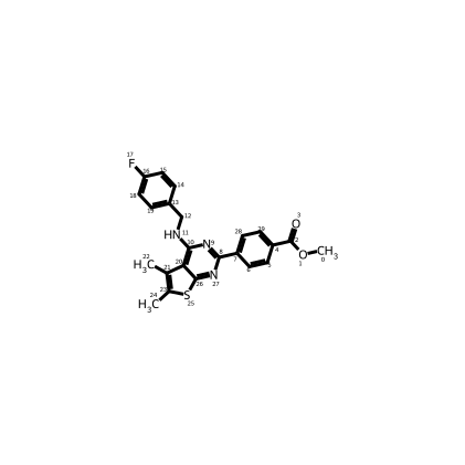 COC(=O)c1ccc(-c2nc(NCc3ccc(F)cc3)c3c(C)c(C)sc3n2)cc1